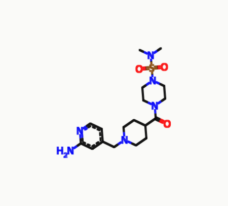 CN(C)S(=O)(=O)N1CCN(C(=O)C2CCN(Cc3ccnc(N)c3)CC2)CC1